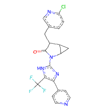 O=C1C(Cc2ccc(Cl)nc2)C2CC2N1c1nc(-c2ccncc2)c(C(F)(F)F)[nH]1